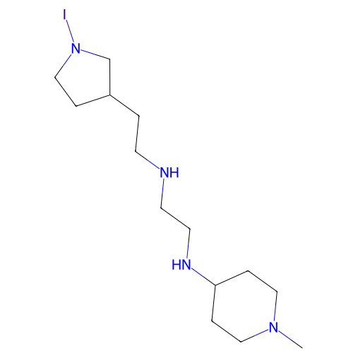 CN1CCC(NCCNCCC2CCN(I)C2)CC1